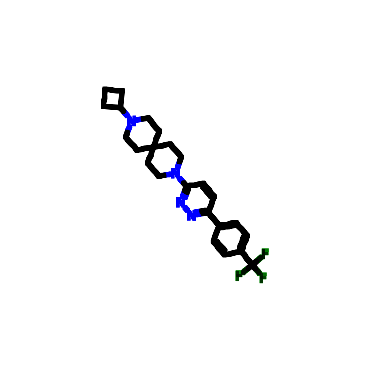 FC(F)(F)c1ccc(-c2ccc(N3CCC4(CC3)CCN(C3CCC3)CC4)nn2)cc1